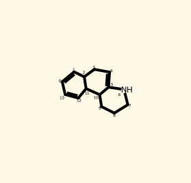 C1=CC2CC=C3NCCCC3C2C=C1